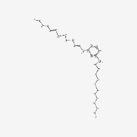 CCCCCCCCCCCCOc1[c]c(OCCCCCCCCCCCC)ccc1